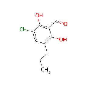 CCCc1cc(Cl)c(O)c(C=O)c1O